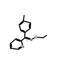 CCO/N=C(\c1ccc(C)cc1)c1ccccn1